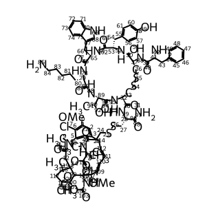 COc1cc2cc(c1Cl)N(C)C(=O)C[C@@]1(OC(=O)[C@H](C)N(C)C(=O)CCSSC[C@H](NC(=O)[C@@H]3CSSC[C@H](NC(=O)[C@H](N)Cc4ccccc4)C(=O)N[C@@H](Cc4ccc(O)cc4)C(=O)N[C@H](Cc4c[nH]c5ccccc45)C(=O)N[C@@H](CCCCCN)C(=O)N[C@@H]([C@@H](C)O)C(=O)N3)C(N)=O)C3[C@H](OC(=O)N[C@@]3(O)[C@H](OC)/C=C/C=C(\C)C2)C2(C)C[C@@]1(C)O2